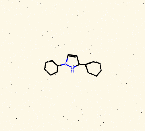 C1=CN(C2CCCCC2)NC1C1CCCCC1